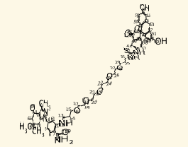 Cc1nn(-c2ccc(C(N)=O)c(NCCCOCCOCCOCCOCCOCCCNC(=S)Nc3ccc4c(c3)C(=O)OC43c4ccc(O)cc4Cc4cc(O)ccc43)c2)c2c1C(=O)CC(C)(C)C2